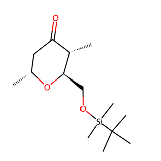 C[C@@H]1CC(=O)[C@H](C)[C@@H](CO[Si](C)(C)C(C)(C)C)O1